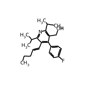 CCC/C=C/c1c(C(C)C)nc(C(C)C)c(CO)c1-c1ccc(F)cc1